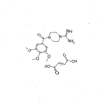 COc1cc(C(=O)N2CCN(C(=N)N)CC2)cc(OC)c1OC.O=C(O)/C=C/C(=O)O